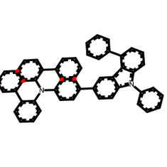 c1ccc(-c2ccccc2N(c2ccc(-c3ccc4c(c3)c3c(-c5ccccc5)cccc3n4-c3ccccc3)cc2)c2ccccc2-c2ccccc2)cc1